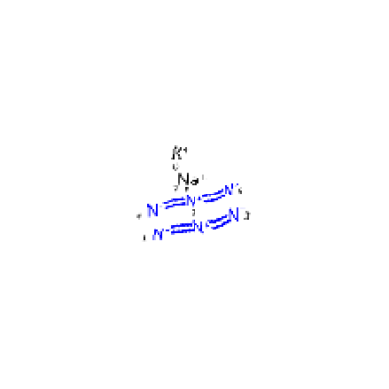 [K+].[N-]=[N+]=[N-].[N-]=[N+]=[N-].[Na+]